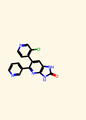 O=c1[nH]c2cc(-c3ccncc3Cl)c(-c3cccnc3)nc2[nH]1